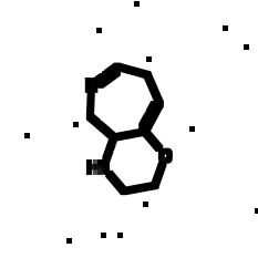 C1=NCC2NCCOC2=CC1